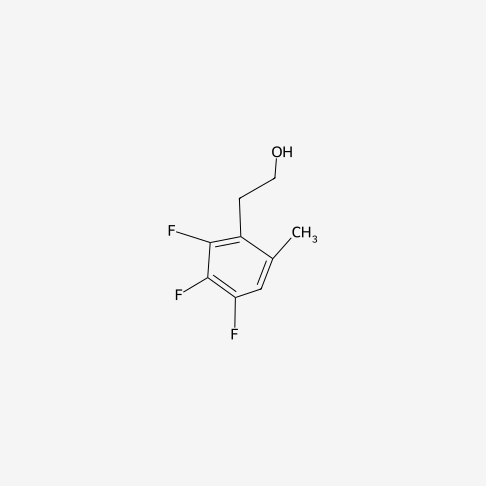 Cc1cc(F)c(F)c(F)c1CCO